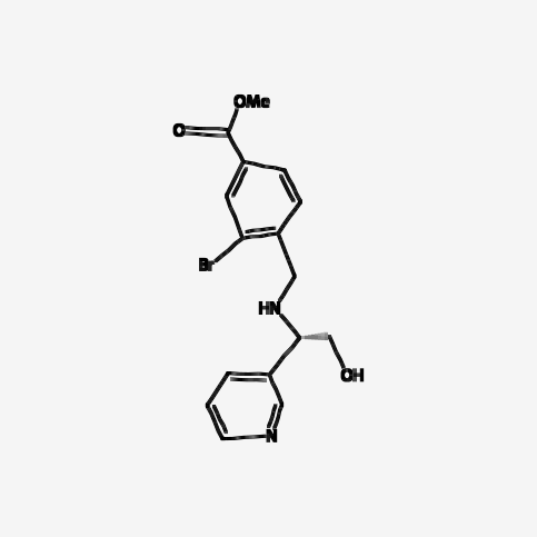 COC(=O)c1ccc(CN[C@H](CO)c2cccnc2)c(Br)c1